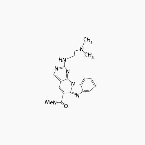 CNC(=O)c1cc2cnc(NCCN(C)C)nc2n2c1nc1ccccc12